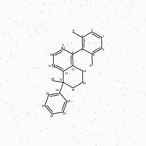 Cc1cccc(C)c1-c1ncnc2c1CCCC2(C)c1ccccc1